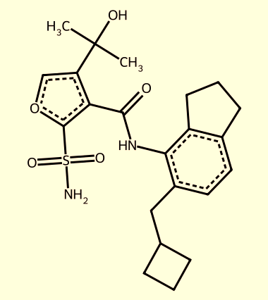 CC(C)(O)c1coc(S(N)(=O)=O)c1C(=O)Nc1c(CC2CCC2)ccc2c1CCC2